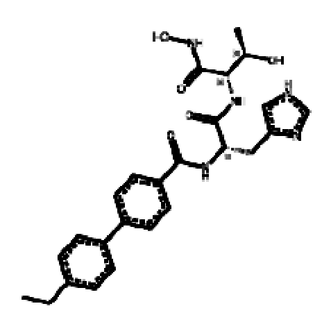 CCc1ccc(-c2ccc(C(=O)N[C@@H](Cc3c[nH]cn3)C(=O)N[C@H](C(=O)NO)[C@@H](C)O)cc2)cc1